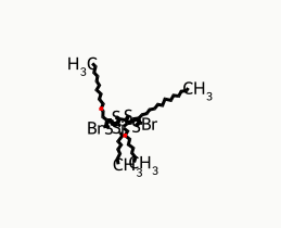 CCCCCCCCCCCCCc1c(Br)sc2c3c(sc12)-c1sc2c(CCCCCCCCCCCCC)c(Br)sc2c1[Si]3(CCCCCCCC)CCCCCCCC